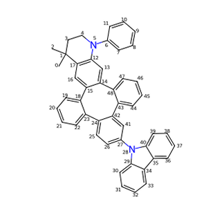 CC1(C)CCN(c2ccccc2)c2cc3c(cc21)-c1ccccc1-c1ccc(-n2c4ccccc4c4ccccc42)cc1-c1ccccc1-3